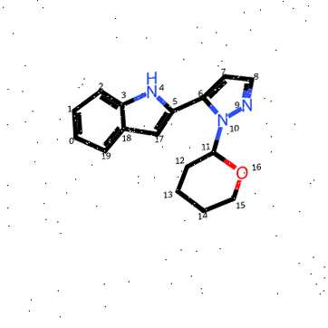 c1ccc2[nH]c(-c3ccnn3C3CCCCO3)cc2c1